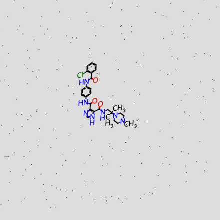 CN1CCN(C(C)(C)CNC(=O)c2[nH]cnc2C(=O)Nc2ccc(NC(=O)c3ccccc3Cl)cc2)CC1